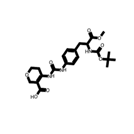 COC(=O)C(Cc1ccc(NC(=O)NC2=C(C(=O)O)COCC2)cc1)NC(=O)OC(C)(C)C